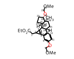 CCOC(=O)CC1C2[C@@H]1c1cc(OCOC)ccc1[C@H]1CC[C@]3(C)[C@@H](OCOC)CC[C@H]3[C@H]21